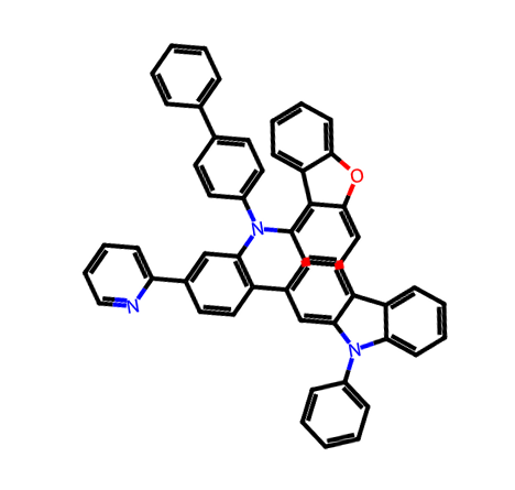 c1ccc(-c2ccc(N(c3cc(-c4ccccn4)ccc3-c3ccc4c5ccccc5n(-c5ccccc5)c4c3)c3cccc4oc5ccccc5c34)cc2)cc1